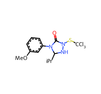 COc1cccc(N2C(=O)N(SC(Cl)(Cl)Cl)NC2C(C)C)c1